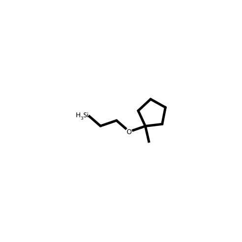 CC1(OCC[SiH3])CCCC1